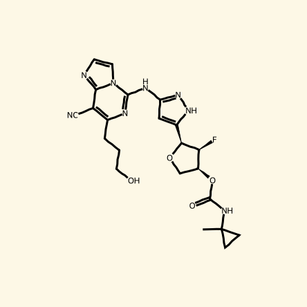 CC1(NC(=O)O[C@H]2CO[C@@H](c3cc(Nc4nc(CCCO)c(C#N)c5nccn45)n[nH]3)[C@H]2F)CC1